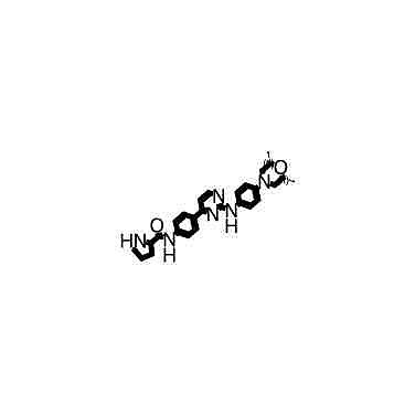 C[C@@H]1CN(c2ccc(Nc3nccc(-c4ccc(NC(=O)C5CCCN5)cc4)n3)cc2)C[C@H](C)O1